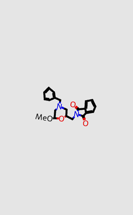 COC1CN(Cc2ccccc2)CC(CN2C(=O)c3ccccc3C2=O)O1